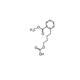 COC(=O)c1ccccc1CCCCOC(=O)O